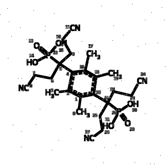 Cc1c(C)c(C(CCC#N)(CCC#N)P(=O)(O)O)c(C)c(C)c1C(CCC#N)(CCC#N)P(=O)(O)O